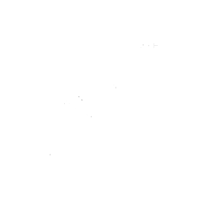 COc1ccc(OCCNS(=O)(=O)c2ccc(C)cc2)cc1